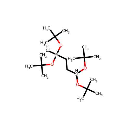 CC(C)(C)O[SiH](CC[Si](C)(OC(C)(C)C)OC(C)(C)C)OC(C)(C)C